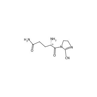 N#CC1=NCCN1C(=O)[C@@H](N)CCC(N)=O